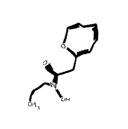 CCN(O)C(=O)CC1=CC=CC=CO1